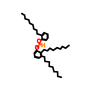 CCCCCCCCCc1ccccc1OPOc1cccc(CCCCCCCCC)c1CCCCCCCCC